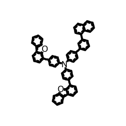 c1cc(-c2ccc(N(c3ccc(-c4cccc5c4oc4ccccc45)cc3)c3ccc(-c4cccc5c4oc4ccccc45)cc3)cc2)cc(-c2cccc3ccccc23)c1